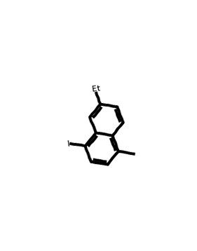 CCc1ccc2c(C)ccc(I)c2c1